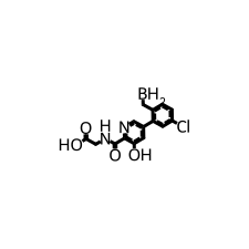 BCc1ccc(Cl)cc1-c1cnc(C(=O)NCC(=O)O)c(O)c1